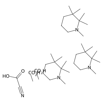 CC(=O)O.CC(=O)O.CN1CCCC(C)(C)C1(C)C.CN1CCCC(C)(C)C1(C)C.CN1CCCC(C)(C)C1(C)C.N#CC(=O)O